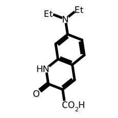 CCN(CC)c1ccc2cc(C(=O)O)c(=O)[nH]c2c1